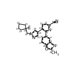 Cc1nc2cc(-c3nc(C#N)ccc3-c3cnn(CC4(F)CCCC4)c3)ccc2o1